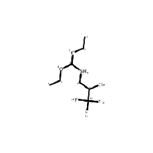 CCOC(OCC)[SiH2]CC(Cl)C(F)(F)F